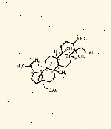 C=C(C)[C@@H]1CC[C@]2(COC(C)=O)CC[C@]3(C)[C@H](CC[C@@H]4[C@@]5(C)CCC(NC(C)=O)C(C)(COC(C)=O)[C@@H]5CC[C@]43C)[C@@H]12